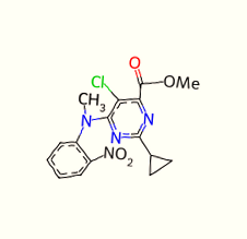 COC(=O)c1nc(C2CC2)nc(N(C)c2ccccc2[N+](=O)[O-])c1Cl